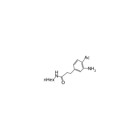 CCCC[CH]CNC(=O)CCc1ccc(C(C)=O)c(N)c1